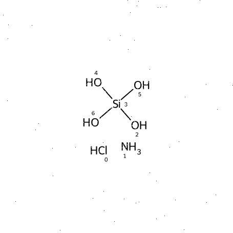 Cl.N.O[Si](O)(O)O